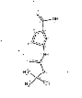 CC(C)(C)OC(=O)Nc1cc(C(=O)O)no1